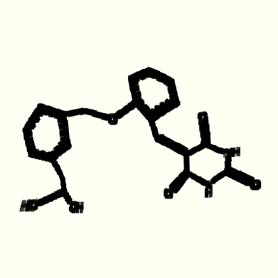 O=C1NC(=O)C(=Cc2ccccc2OCc2cccc(C(O)O)c2)C(=O)N1